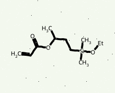 C=CC(=O)OC(C)CC[Si](C)(C)OCC